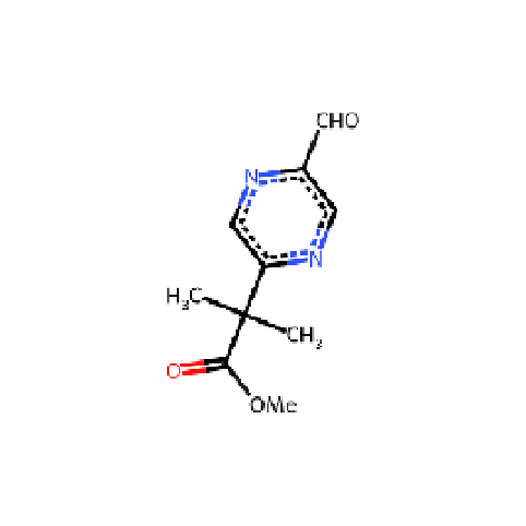 COC(=O)C(C)(C)c1cnc(C=O)cn1